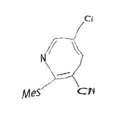 CSc1ncc(Cl)cc1C#N